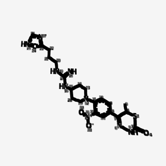 CC1SC(=O)NN=C1c1ccc(N2CCC(NC(=N)NCCCc3c[nH]cn3)CC2)c([N+](=O)[O-])c1